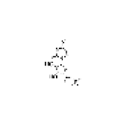 C=C1N=C(NC)C=CN1[C@@H]1O[C@H](C(C)CP(=C)(C)C)[C@@H](O)[C@H]1O